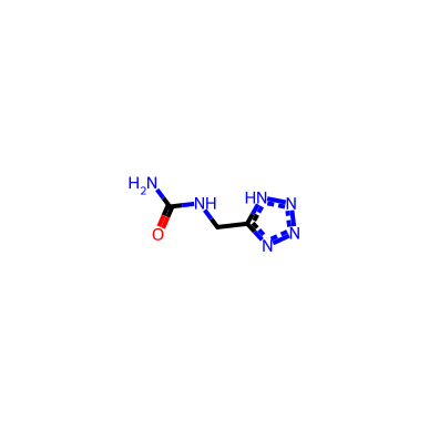 NC(=O)NCc1nnn[nH]1